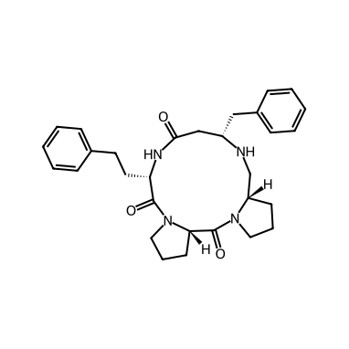 O=C1C[C@H](Cc2ccccc2)NC[C@@H]2CCCN2C(=O)[C@@H]2CCCN2C(=O)[C@H](CCc2ccccc2)N1